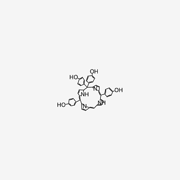 Oc1ccc(C2=C3C=CC(N3)C(c3ccc(O)cc3)(c3ccc(O)cc3)C3=NC(=C(c4ccc(O)cc4)c4ccc([nH]4)C=C4C=CC2=N4)C=C3)cc1